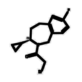 O=C(CBr)N1Cc2ccc(F)cc2CC[C@H]1C1CC1